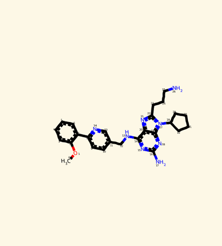 COc1ccccc1-c1ccc(CNc2nc(N)nc3c2nc(CCCN)n3C2CCCC2)cn1